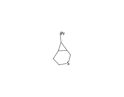 CC(C)C1C2CCSCC21